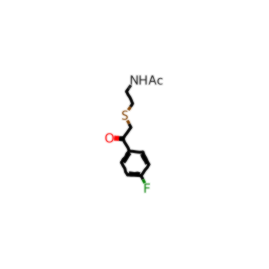 CC(=O)NCCSCC(=O)c1ccc(F)cc1